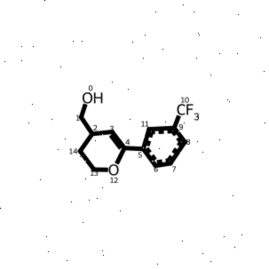 OCC1C=C(c2cccc(C(F)(F)F)c2)OCC1